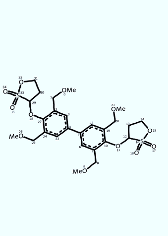 COCc1cc(-c2cc(COC)c(OC3CCOS3(=O)=O)c(COC)c2)cc(COC)c1OC1CCOS1(=O)=O